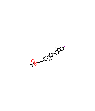 C=C(C)C(=O)OCCCCc1ccc2c(c1)C(C)(C)c1cc(-c3ccc4c(c3)C(C)(C)c3cc(I)ccc3-4)ccc1-2